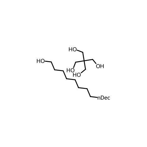 CCCCCCCCCCCCCCCCCCO.OCC(CO)(CO)CO